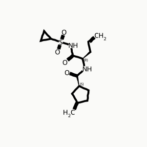 C=CC[C@@H](NC(=O)[C@H]1CCC(=C)C1)C(=O)NS(=O)(=O)C1CC1